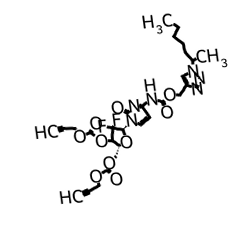 C#CCOC(=O)OC[C@H]1O[C@@H](n2ccc(NC(=O)OCc3cn(C(C)CCCCC)nn3)nc2=O)C(F)(F)C1OC(=O)OCC#C